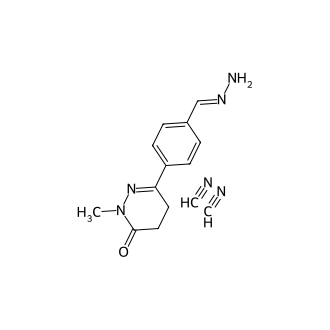 C#N.C#N.CN1N=C(c2ccc(C=NN)cc2)CCC1=O